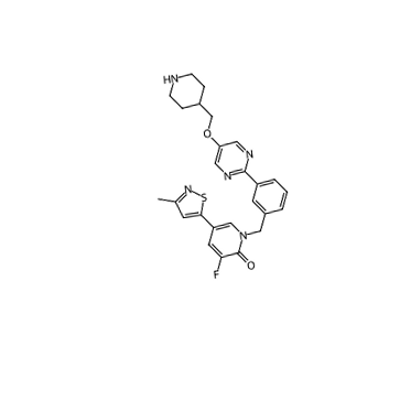 Cc1cc(-c2cc(F)c(=O)n(Cc3cccc(-c4ncc(OCC5CCNCC5)cn4)c3)c2)sn1